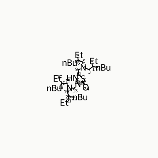 CCCCC(CC)CN(CC(CC)CCCC)CC1NN(CN(CC(CC)CCCC)CC(CC)CCCC)C(=O)S1